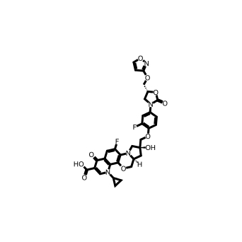 O=C(O)c1cn(C2CC2)c2c3c(c(F)cc2c1=O)N1C[C@](O)(COc2ccc(N4C[C@H](COc5ccon5)OC4=O)cc2F)C[C@H]1CO3